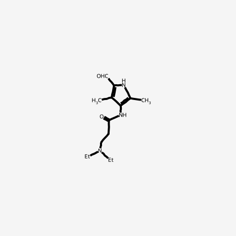 CCN(CC)CCC(=O)Nc1c(C)[nH]c(C=O)c1C